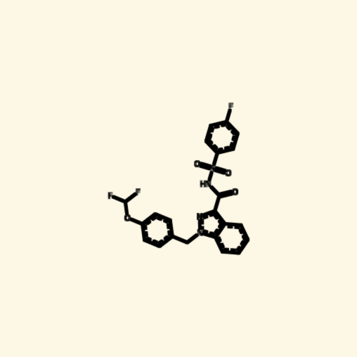 O=C(NS(=O)(=O)c1ccc(F)cc1)c1nn(Cc2ccc(OC(F)F)cc2)c2ccccc12